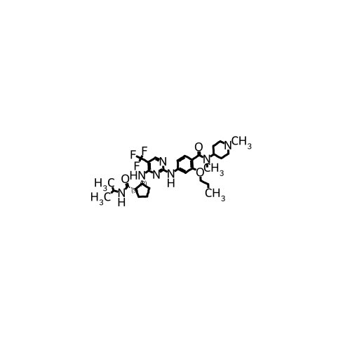 CCCOc1cc(Nc2ncc(C(F)(F)F)c(N[C@@H]3CCC[C@@H]3C(=O)NC(C)C)n2)ccc1C(=O)N(C)C1CCN(C)CC1